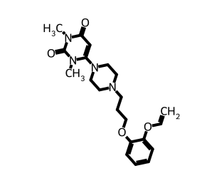 C=COc1ccccc1OCCCN1CCN(c2cc(=O)n(C)c(=O)n2C)CC1